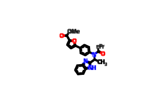 CCCC(=O)N(c1ccc(-c2ccc(C(=O)OC)o2)cc1)C(C)c1nc2ccccc2[nH]1